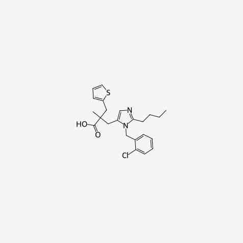 CCCCc1ncc(CC(C)(Cc2cccs2)C(=O)O)n1Cc1ccccc1Cl